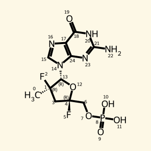 C[C@@]1(F)C[C@@](F)(COP(=O)(O)O)O[C@H]1n1cnc2c(=O)[nH]c(N)nc21